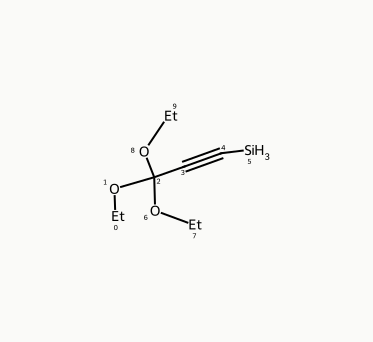 CCOC(C#C[SiH3])(OCC)OCC